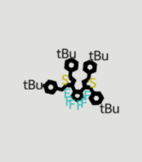 CC(C)(C)c1ccc(Cc2sc(-c3ccc(C(C)(C)C)cc3)cc2C2=C(c3cc(-c4ccc(C(C)(C)C)cc4)sc3-c3ccc(C(C)(C)C)cc3)C(F)(F)C(F)(F)C2(F)F)cc1